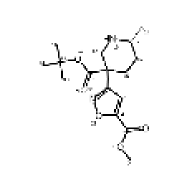 COC(=O)c1cc([C@@]2(C(=O)OC(C)(C)C)CC[C@@H](C)NC2)no1